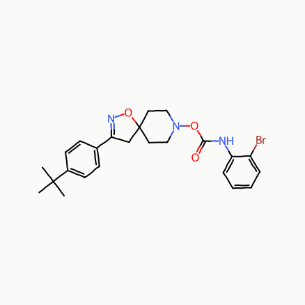 CC(C)(C)c1ccc(C2=NOC3(CCN(OC(=O)Nc4ccccc4Br)CC3)C2)cc1